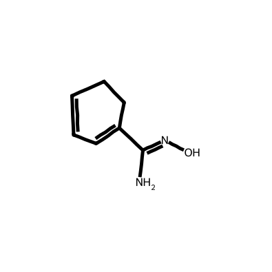 N/C(=N\O)C1=CC=CCC1